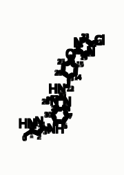 Cc1cc(Nc2ccc3nc(NCc4ccc(Oc5cnc(Cl)cn5)cc4)n(C)c3c2)n[nH]1